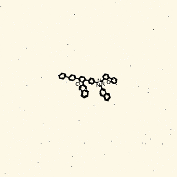 c1ccc(-c2ccc(-c3ccc(-c4ccc(-c5nc(-c6ccc7ccccc7c6)nc(-c6cccc7c6oc6ccccc67)n5)cc4)c4c3oc3cc5ccccc5cc34)cc2)cc1